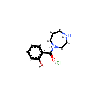 Cl.O=C(c1ccccc1Br)N1CCCNCC1